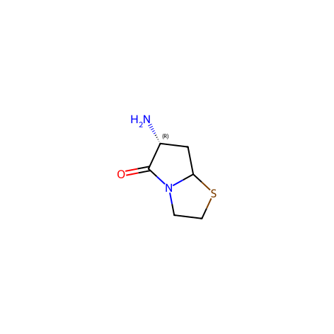 N[C@@H]1CC2SCCN2C1=O